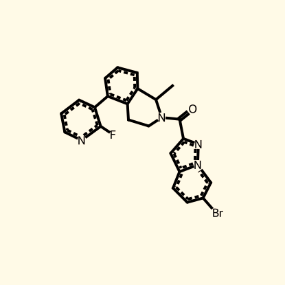 CC1c2cccc(-c3cccnc3F)c2CCN1C(=O)c1cc2ccc(Br)cn2n1